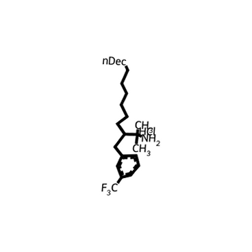 CCCCCCCCCCCCCCCCC(Cc1cccc(C(F)(F)F)c1)C(C)(C)N.Cl